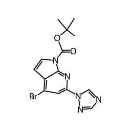 CC(C)(C)OC(=O)n1ccc2c(Br)cc(-n3cncn3)nc21